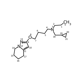 CCCN(CCCCOc1cc2n(n1)CCCC2)CC1CC1